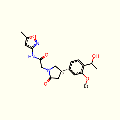 CCOc1cc([C@@H]2CC(=O)N(CC(=O)Nc3cc(C)on3)C2)ccc1C(C)O